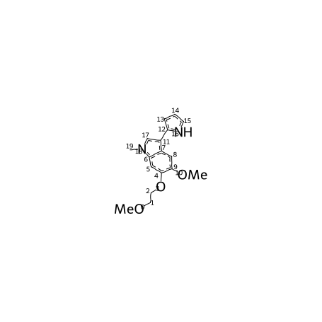 COCCOc1cc2c(cc1OC)c(-c1ccc[nH]1)cn2C